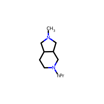 CCCN1CCC2CN(C)CC2C1